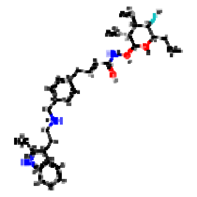 CC(=O)OCC1O[C@@H](ONC(=O)/C=C/Cc2ccc(CNCCc3c(C)[nH]c4ccccc34)cc2)[C@H](OC(C)=O)[C@@H](OC(C)=O)[C@H]1F